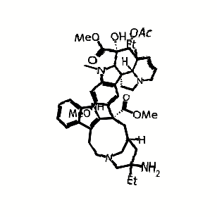 CCC1(N)C[C@@H]2CN(CCc3c([nH]c4ccccc34)[C@@](C(=O)OC)(c3cc4c(cc3OC)N(C)C3[C@]45CCN4CC=C[C@@](CC)([C@@H](OC(C)=O)[C@]3(O)C(=O)OC)[C@H]45)C2)C1